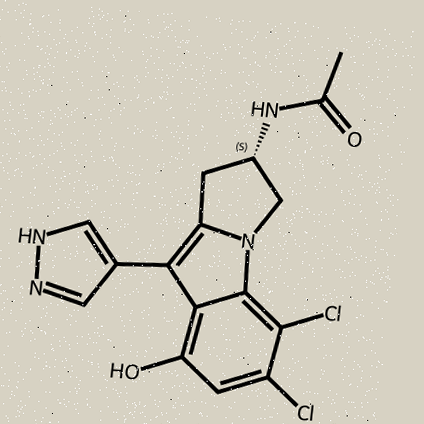 CC(=O)N[C@H]1Cc2c(-c3cn[nH]c3)c3c(O)cc(Cl)c(Cl)c3n2C1